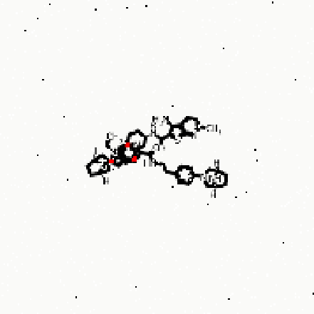 CCn1c(N2[C@@H]3CC[C@H]2CN(c2ccc4c(c2)CC[C@H](NC(=O)c2sc5nc(C)ccc5c2N)C4)C3)cc2cc(C(=O)NCCc3ccc(N4C[C@H]5CC[C@@H](C4)N5)cc3)nnc21